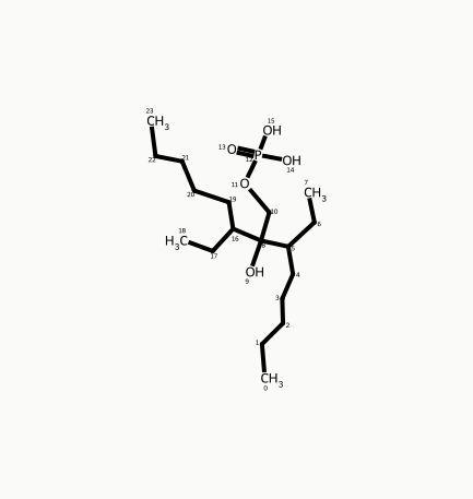 CCCCCC(CC)C(O)(COP(=O)(O)O)C(CC)CCCCC